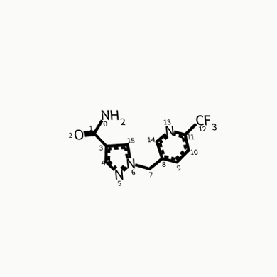 NC(=O)c1cnn(Cc2ccc(C(F)(F)F)nc2)c1